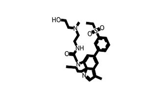 CCS(=O)(=O)c1cccc(C2=CC3=C(C)C=NC34CCC(C)N(C(=O)NCCN(C)CCO)C4=C2)c1